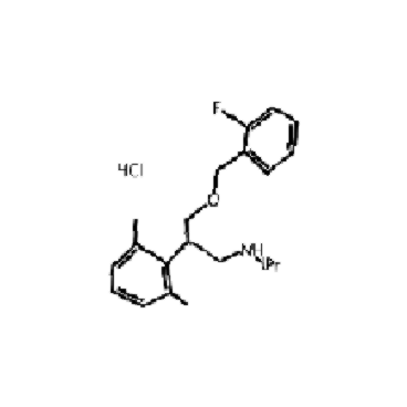 Cc1cccc(C)c1C(CNC(C)C)COCc1ccccc1F.Cl